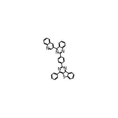 c1ccc(-c2nc(-c3ccc(-c4nc(-c5cnc6ccccc6c5)c5ccccc5n4)cc3)nc3c2sc2ccccc23)cc1